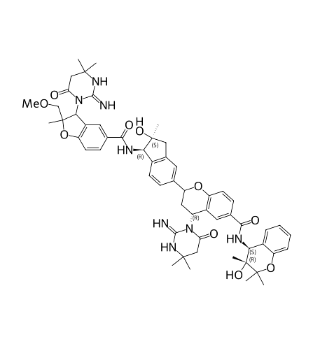 COCC1(C)Oc2ccc(C(=O)N[C@@H]3c4ccc(C5C[C@@H](N6C(=N)NC(C)(C)CC6=O)c6cc(C(=O)N[C@H]7c8ccccc8OC(C)(C)[C@]7(C)O)ccc6O5)cc4C[C@]3(C)O)cc2C1N1C(=N)NC(C)(C)CC1=O